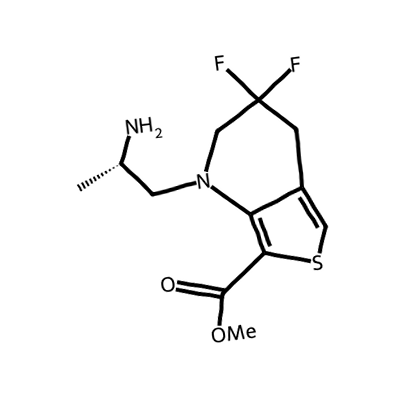 COC(=O)c1scc2c1N(C[C@H](C)N)CC(F)(F)C2